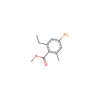 CCc1cc(P)cc(C)c1C(=O)OC